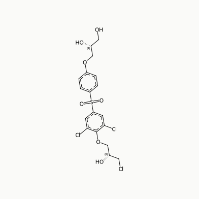 O=S(=O)(c1ccc(OC[C@H](O)CO)cc1)c1cc(Cl)c(OC[C@@H](O)CCl)c(Cl)c1